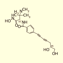 C=NC(C)(C)[C@H](NC(=O)c1ccc(C#CC#CC[C@@H](O)CO)cc1)C(=O)NO